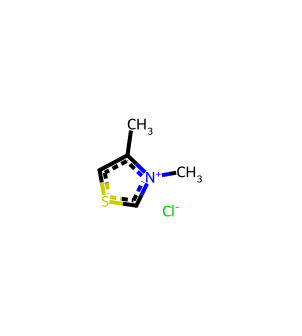 Cc1csc[n+]1C.[Cl-]